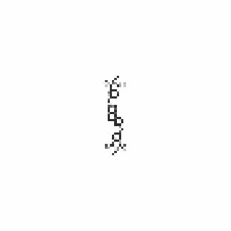 CCN1C(=O)c2ccc(Cc3ccc4c(ccc5cc(Cc6ccc7c(c6)C(=O)N(CC)C7=O)ccc54)c3)cc2C1=O